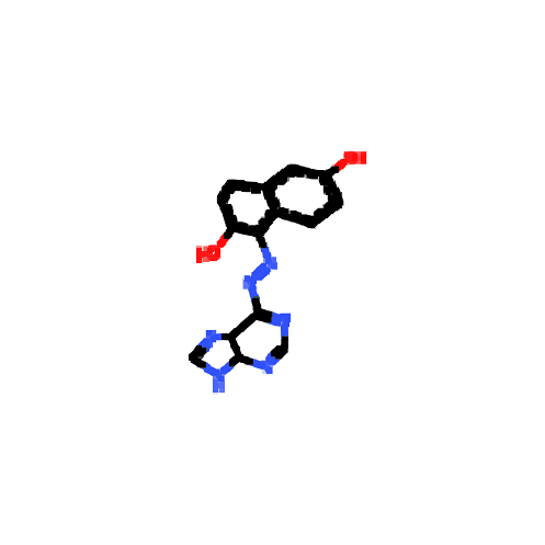 Oc1ccc2c(/N=N/C3=NC=NC4NC=NC34)c(O)ccc2c1